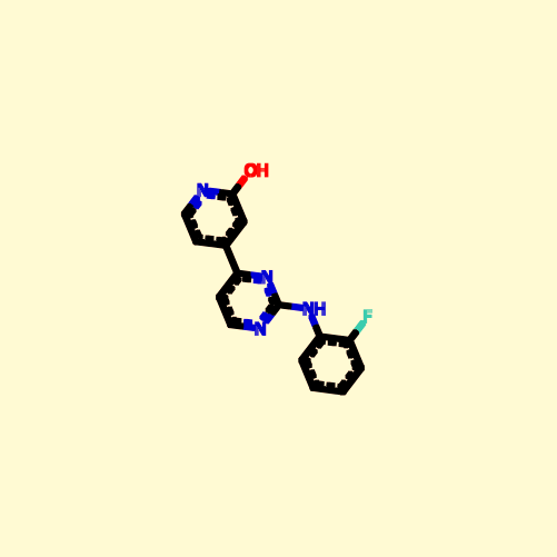 Oc1cc(-c2ccnc(Nc3ccccc3F)n2)ccn1